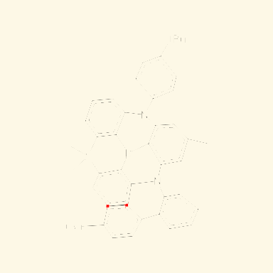 Cc1cc2c3c(c1)N(c1ccccc1-c1ccc(C(C)(C)C)cc1)c1cccc4c1B3c1c(cccc1[Si]4(C)C)N2c1ccc(C(C)(C)C)cc1